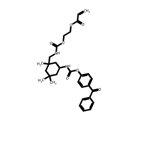 C=CC(=O)OCCOC(=O)NCC1(C)CC(NC(=O)Oc2ccc(C(=O)c3ccccc3)cc2)CC(C)(C)C1